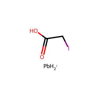 O=C(O)CI.[PbH2]